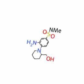 CNS(=O)(=O)c1ccc(N2CCCCC2CO)c(N)c1